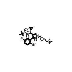 CC(C)(C)[S+]([O-])N[C@@H](c1cn(COCC[Si](C)(C)C)nc1-c1cc(F)ccc1Br)C1CC1